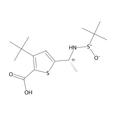 C[C@@H](N[S+]([O-])C(C)(C)C)c1cc(C(C)(C)C)c(C(=O)O)s1